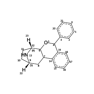 c1ccc(C2OC3C(C[C@@H]4CC[C@H]3N4)c3ccccc32)cc1